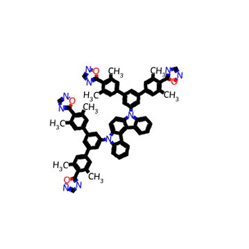 Cc1cc(-c2cc(-c3cc(C)c(-c4ncno4)c(C)c3)cc(-n3c4ccccc4c4c5c6ccccc6n(-c6cc(-c7cc(C)c(-c8ncno8)c(C)c7)cc(-c7cc(C)c(-c8ncno8)c(C)c7)c6)c5ccc43)c2)cc(C)c1-c1ncno1